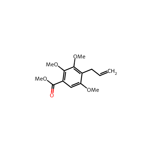 C=CCc1c(OC)cc(C(=O)OC)c(OC)c1OC